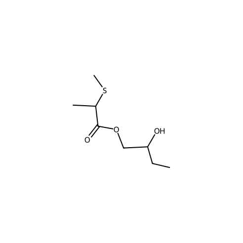 CCC(O)COC(=O)C(C)SC